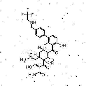 CN(C)[C@@H]1C(O)=C(C(N)=O)C(=O)[C@@]2(O)C(O)=C3C(=O)c4c(O)ccc(-c5ccc(CNCC(F)(F)F)cc5)c4C[C@H]3C[C@@H]12